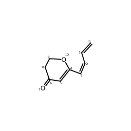 C=C/C=C\C1=CC(=O)CCO1